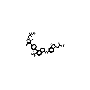 COC(=O)CC1COc2cc(O[C@@H]3CCc4c3ccc(C(F)(F)F)c4-c3ccc(-c4c(C)nn(CC(C)(C)O)c4C)cc3)ccc21